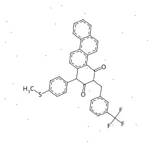 CSc1ccc(C2C(=O)C(Cc3cccc(C(F)(F)F)c3)C(=O)c3c2ccc2c3ccc3ccccc32)cc1